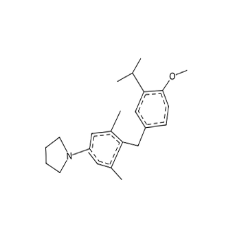 COc1ccc(Cc2c(C)cc(N3CCCC3)cc2C)cc1C(C)C